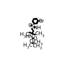 CCC(CC)(CCS(=N)(=O)c1cccc(Br)c1)NC(=O)OC(C)(C)C